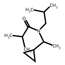 CC(C)CN(C(=O)C(C)C)C(C)C1CC1